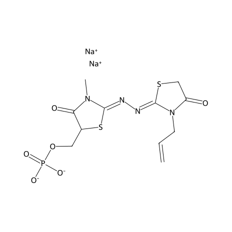 C=CCN1C(=O)CSC1=NN=C1SC(COP(=O)([O-])[O-])C(=O)N1C.[Na+].[Na+]